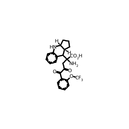 NC(CC(=O)C(=O)c1ccccc1OC(F)(F)F)(C(=O)O)C1c2ccccc2N[C@@H]2CCC[C@H]12